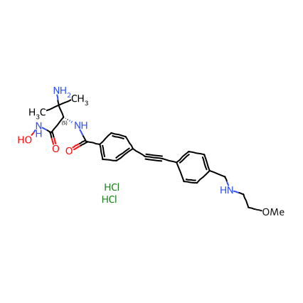 COCCNCc1ccc(C#Cc2ccc(C(=O)N[C@H](C(=O)NO)C(C)(C)N)cc2)cc1.Cl.Cl